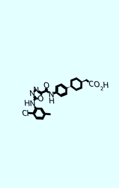 Cc1ccc(Cl)c(Nc2nnc(C(=O)Nc3ccc([C@H]4CC[C@H](CC(=O)O)CC4)cc3)o2)c1